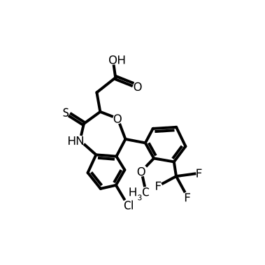 COc1c(C2OC(CC(=O)O)C(=S)Nc3ccc(Cl)cc32)cccc1C(F)(F)F